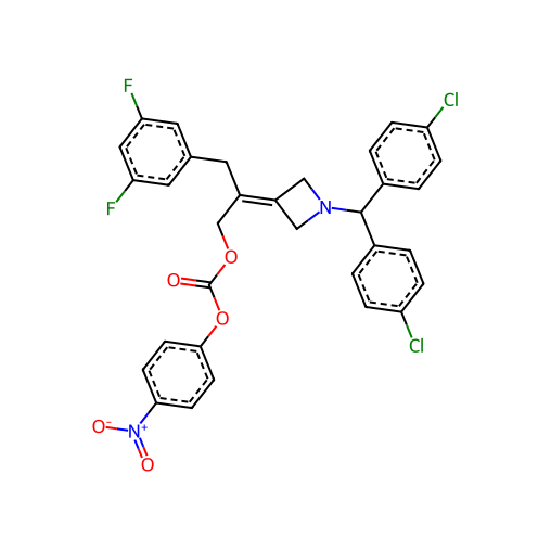 O=C(OCC(Cc1cc(F)cc(F)c1)=C1CN(C(c2ccc(Cl)cc2)c2ccc(Cl)cc2)C1)Oc1ccc([N+](=O)[O-])cc1